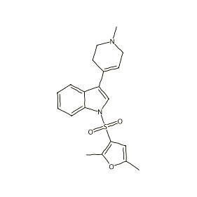 Cc1cc(S(=O)(=O)n2cc(C3=CCN(C)CC3)c3ccccc32)c(C)o1